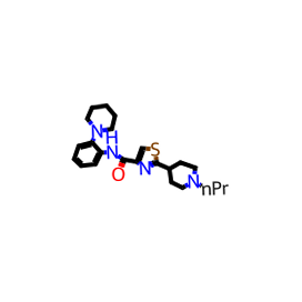 CCCN1CCC(c2nc(C(=O)Nc3ccccc3N3CCCCC3)cs2)CC1